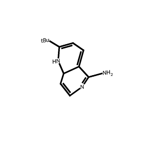 CC(C)(C)C1=CC=C2C(N)=NC=CC2N1